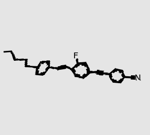 CCCCCc1ccc(C#Cc2ccc(C#Cc3ccc(C#N)cc3)cc2F)cc1